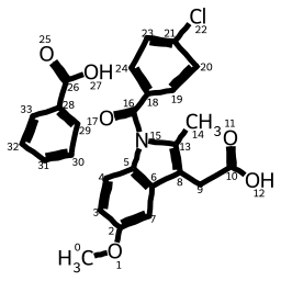 COc1ccc2c(c1)c(CC(=O)O)c(C)n2C(=O)c1ccc(Cl)cc1.O=C(O)c1ccccc1